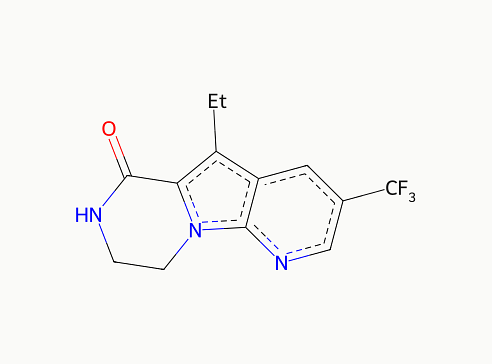 CCc1c2n(c3ncc(C(F)(F)F)cc13)CCNC2=O